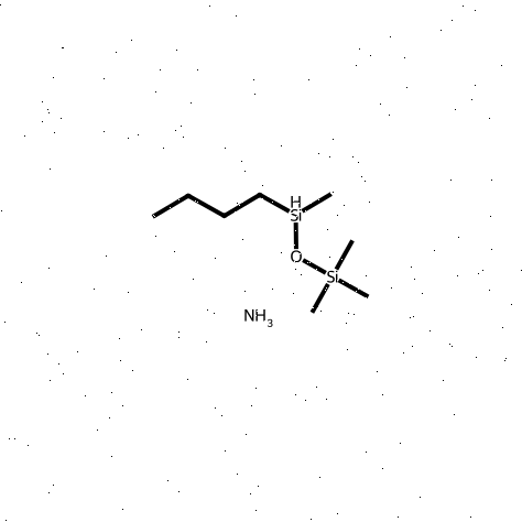 CCCC[SiH](C)O[Si](C)(C)C.N